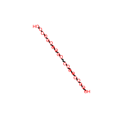 OCCOCCOCCOCCOCCOCCOCCOCCOCCCCOCCOCCOCCOCCOCCOCCOCCOCCOCCO